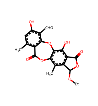 CCOC1OC(=O)c2c(O)c3c(c(C)c21)OC(=O)c1c(C)cc(O)c(C=O)c1O3